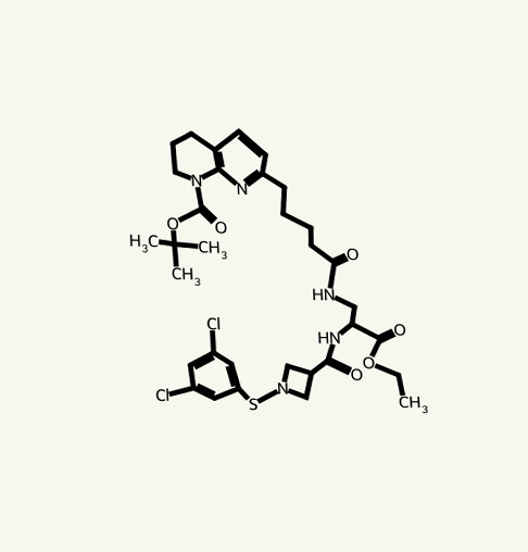 CCOC(=O)C(CNC(=O)CCCCc1ccc2c(n1)N(C(=O)OC(C)(C)C)CCC2)NC(=O)C1CN(Sc2cc(Cl)cc(Cl)c2)C1